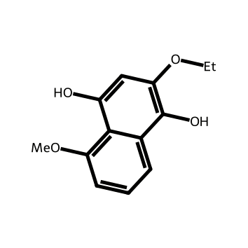 CCOc1cc(O)c2c(OC)cccc2c1O